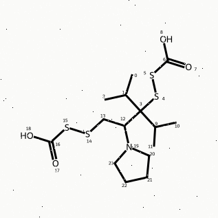 CC(C)C(SSC(=O)O)(C(C)C)C(CSSC(=O)O)N1CCCC1